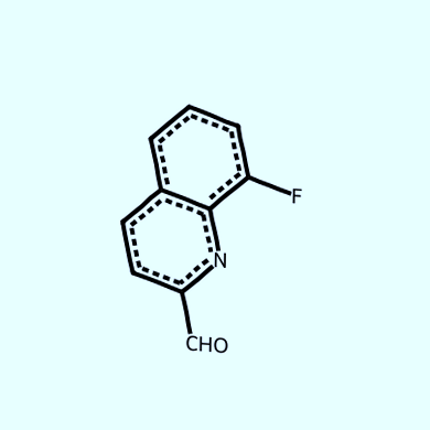 O=Cc1ccc2cccc(F)c2n1